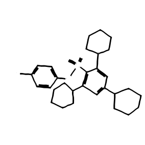 O=S(=O)(O)c1ccc(OS(=O)(=O)c2c(C3CCCCC3)cc(C3CCCCC3)cc2C2CCCCC2)cc1